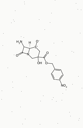 NC1C(=O)N2CC(O)(C(=O)OCc3ccc([N+](=O)[O-])cc3)C[S+]([O-])[C@H]12